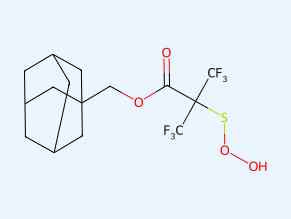 O=C(OCC12CC3CC(CC(C3)C1)C2)C(SOO)(C(F)(F)F)C(F)(F)F